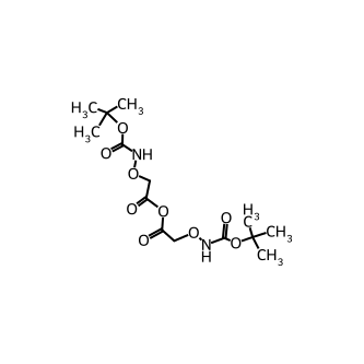 CC(C)(C)OC(=O)NOCC(=O)OC(=O)CONC(=O)OC(C)(C)C